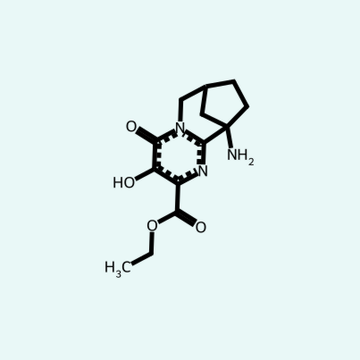 CCOC(=O)c1nc2n(c(=O)c1O)CC1CCC2(N)C1